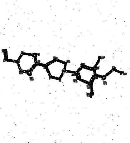 C=CC1COC(C2CCC(c3cc(F)c(OCF)c(F)c3)CC2)OC1